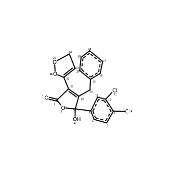 O=C1OC(O)(c2ccc(Cl)c(Cl)c2)C(Cc2ccccc2)=C1C1=CCOO1